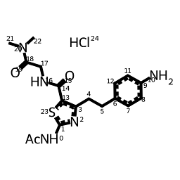 CC(=O)Nc1nc(CCc2ccc(N)cc2)c(C(=O)NCC(=O)N(C)C)s1.Cl